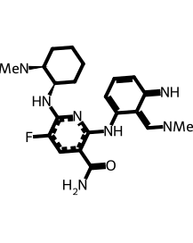 CN/C=C1\C(=N)C=CC=C1Nc1nc(N[C@@H]2CCCC[C@@H]2NC)c(F)cc1C(N)=O